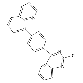 Clc1nc(-c2ccc(-c3cccc4cccnc34)cc2)c2ccccc2n1